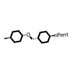 CCCCC[C@H]1CC[C@H](CO[C@H]2CC[C@H](C)CC2)CC1